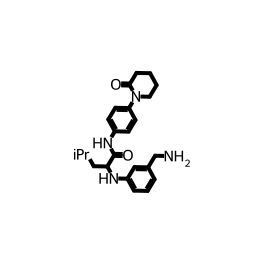 CC(C)CC(Nc1cccc(CN)c1)C(=O)Nc1ccc(N2CCCCC2=O)cc1